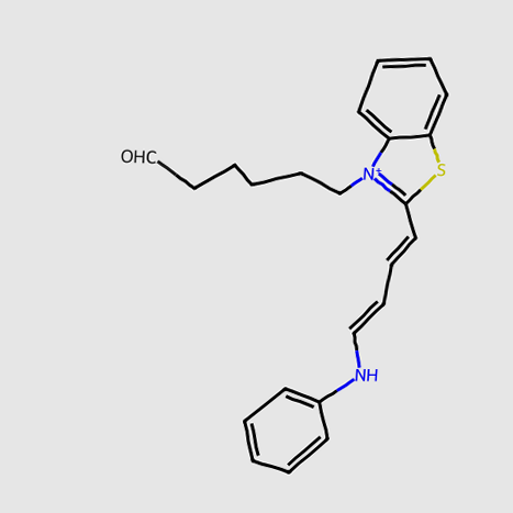 O=CCCCCC[n+]1c(/C=C/C=C/Nc2ccccc2)sc2ccccc21